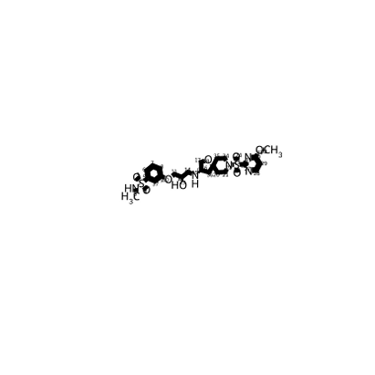 CNS(=O)(=O)c1cccc(OC[C@@H](O)CN[C@H]2COC3(CCN(S(=O)(=O)c4nccc(OC)n4)CC3)C2)c1